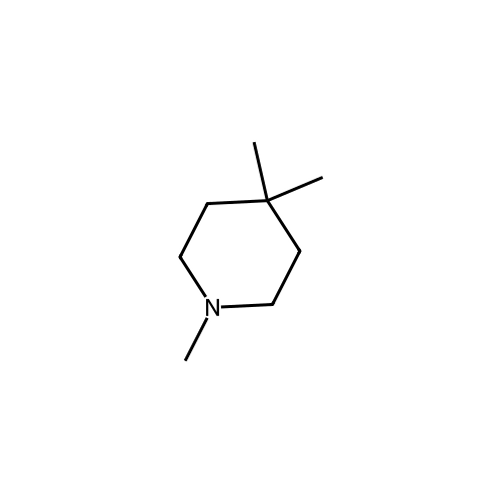 CN1CCC(C)(C)CC1